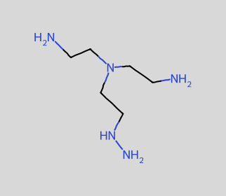 NCCN(CCN)CCNN